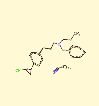 CC#N.CCCN(CCCc1ccc(C2CC2Cl)cc1)Cc1ccccc1